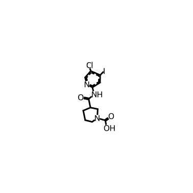 O=C(Nc1cc(I)c(Cl)cn1)C1CCCN(C(=O)O)C1